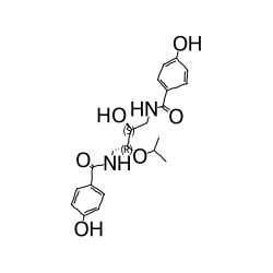 CC(C)O[C@H](CNC(=O)c1ccc(O)cc1)[C@@H](O)CNC(=O)c1ccc(O)cc1